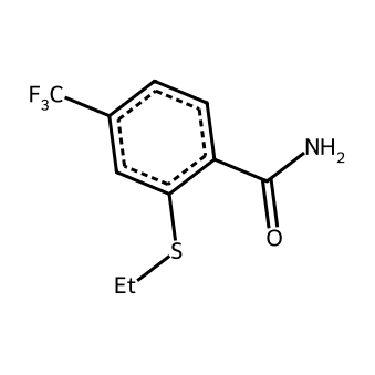 CCSc1cc(C(F)(F)F)ccc1C(N)=O